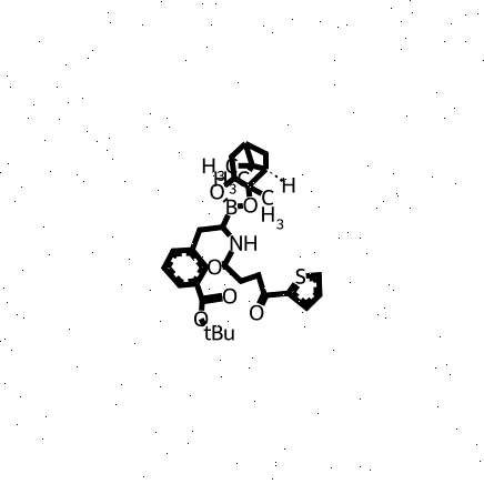 CC(C)(C)OC(=O)c1cccc(CC(NC(=O)CCC(=O)c2cccs2)B2OC3CC4C[C@H](C4(C)C)C3(C)O2)c1